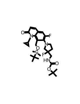 CC(C)(C)OC(=O)NCC1(F)CCN(c2c(F)cc3ccc(=O)n(C4CC4)c3c2CO[Si](C)(C)C(C)(C)C)C1